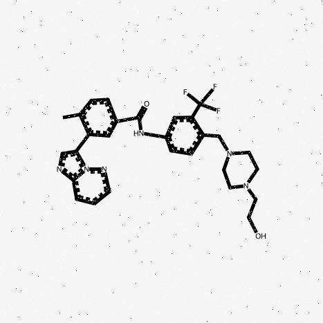 Cc1ccc(C(=O)Nc2ccc(CN3CCN(CCO)CC3)c(C(F)(F)F)c2)cc1-c1cnc2cccnn12